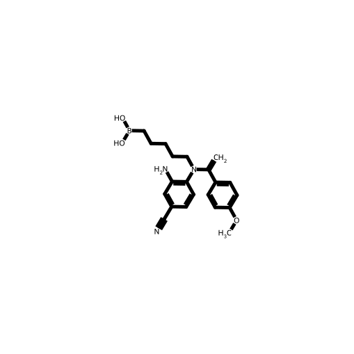 C=C(c1ccc(OC)cc1)N(CCCCCB(O)O)c1ccc(C#N)cc1N